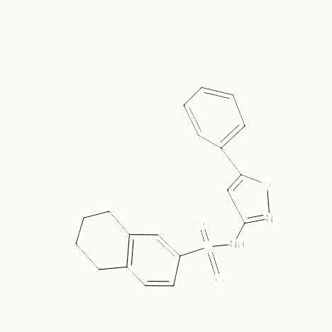 O=S(=O)(Nc1cc(-c2ccccc2)on1)c1ccc2c(c1)CCCC2